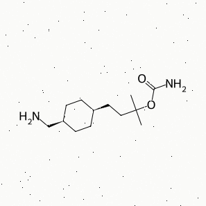 CC(C)(CC[C@H]1CC[C@@H](CN)CC1)OC(N)=O